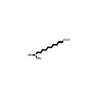 CCCCCCCCC=CCCCCCCCCN(CCCC)CCCC